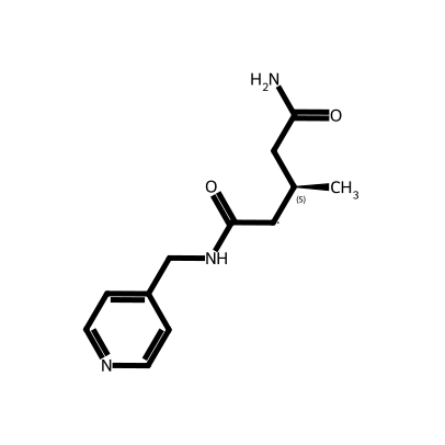 C[C@@H]([CH]C(=O)NCc1ccncc1)CC(N)=O